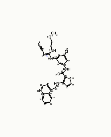 COCCN/C(=N\C#N)Nc1cc(Cl)cc(NC(=O)c2sccc2NCc2ccnc3ccccc23)c1